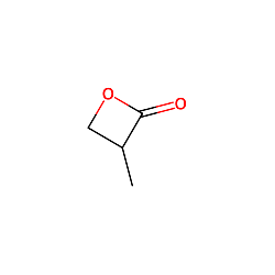 CC1COC1=O